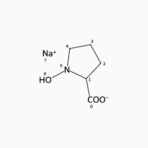 O=C([O-])C1CCCN1O.[Na+]